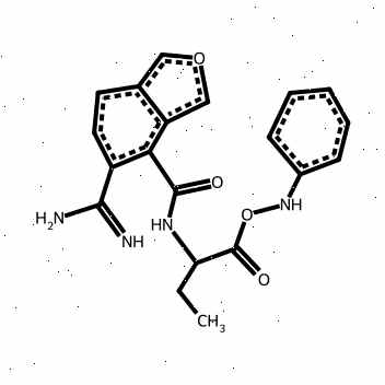 CCC(NC(=O)c1c(C(=N)N)ccc2cocc12)C(=O)ONc1ccccc1